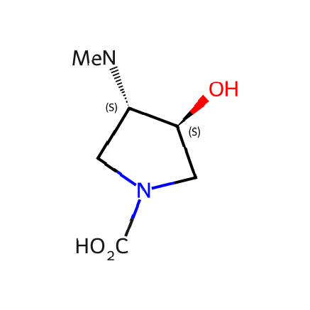 CN[C@H]1CN(C(=O)O)C[C@@H]1O